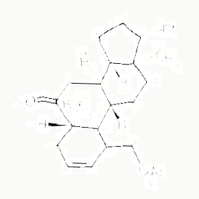 CC[C@H]1CC[C@H]2[C@@H]3CC(=O)[C@H]4CC=CC(COC(C)=O)[C@]4(C)[C@H]3CC[C@]12C